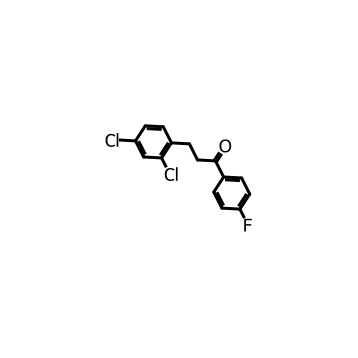 O=C(CCc1ccc(Cl)cc1Cl)c1ccc(F)cc1